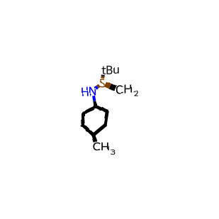 C=S(NC1CCC(C)CC1)C(C)(C)C